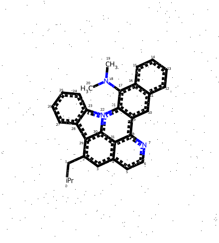 CC(C)Cc1cc2ccnc3c4cc5ccccc5c(N(C)C)c4n4c5ccccc5c1c4c23